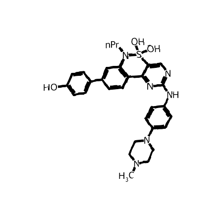 CCCN1c2cc(-c3ccc(O)cc3)ccc2-c2nc(Nc3ccc(N4CCN(C)CC4)cc3)ncc2S1(O)O